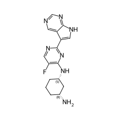 N[C@@H]1CCC[C@H](Nc2nc(-c3c[nH]c4ncncc34)ncc2F)C1